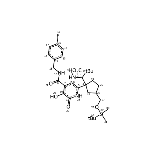 CC(C)(C)C(NC(=O)O)C1(c2nc(C(=O)NCc3ccc(F)cc3)c(O)c(=O)[nH]2)CCC(CO[Si](C)(C)C(C)(C)C)C1